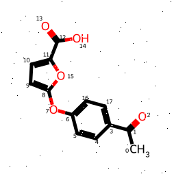 CC(=O)c1ccc(Oc2ccc(C(=O)O)o2)cc1